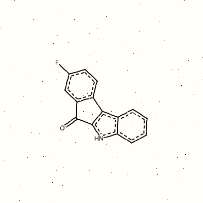 O=C1c2cc(F)ccc2-c2c1[nH]c1ccccc21